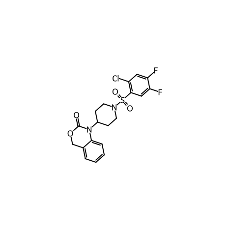 O=C1OCc2ccccc2N1C1CCN(S(=O)(=O)c2cc(F)c(F)cc2Cl)CC1